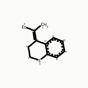 CC/C(C)=C1\CCSc2ccccc21